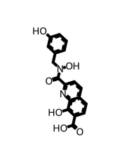 O=C(O)c1ccc2ccc(C(=O)N(O)Cc3cccc(O)c3)nc2c1O